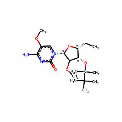 CC[C@H]1O[C@@H](n2cc(OC)c(N)nc2=O)C(OC)[C@H]1O[Si](C)(C)C(C)(C)C